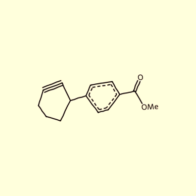 COC(=O)c1ccc(C2C#CCCC2)cc1